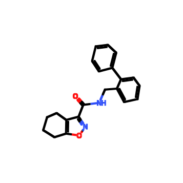 O=C(NCc1ccccc1-c1ccccc1)c1noc2c1CCCC2